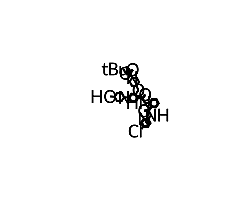 CC(C)(C)OC(=O)N1CCC(Oc2cc(N3CCC(O)CC3)ccc2C(=O)Nc2ccccc2C(=O)Nc2ccc(Cl)cn2)CC1